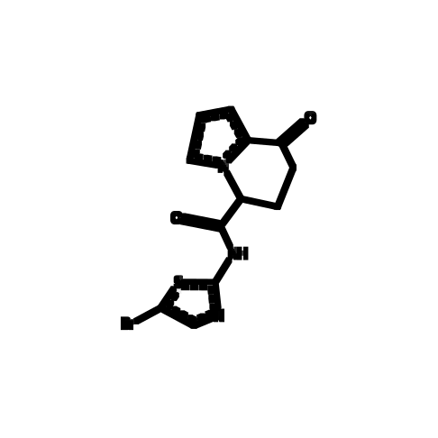 O=C1CCC(C(=O)Nc2ncc(Br)s2)n2cccc21